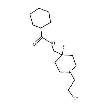 CC(C)CCN1CCC(F)(CNC(=O)C2CCCCC2)CC1